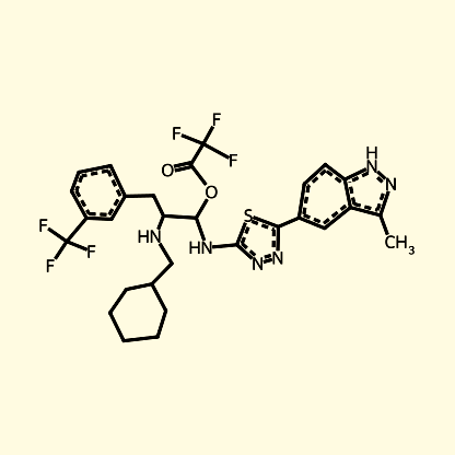 Cc1n[nH]c2ccc(-c3nnc(NC(OC(=O)C(F)(F)F)C(Cc4cccc(C(F)(F)F)c4)NCC4CCCCC4)s3)cc12